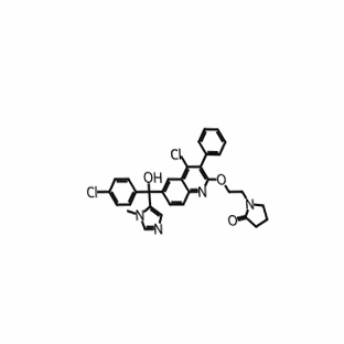 Cn1cncc1C(O)(c1ccc(Cl)cc1)c1ccc2nc(OCCN3CCCC3=O)c(-c3ccccc3)c(Cl)c2c1